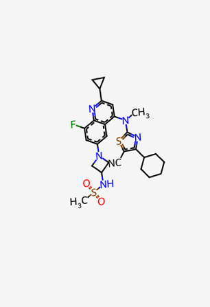 CN(c1nc(C2CCCCC2)c(C#N)s1)c1cc(C2CC2)nc2c(F)cc(N3CC(NS(C)(=O)=O)C3)cc12